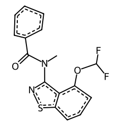 CN(C(=O)c1ccccc1)c1nsc2cccc(OC(F)F)c12